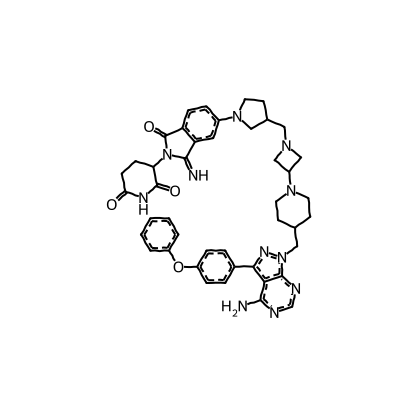 N=C1c2cc(N3CCC(CN4CC(N5CCC(Cn6nc(-c7ccc(Oc8ccccc8)cc7)c7c(N)ncnc76)CC5)C4)C3)ccc2C(=O)N1C1CCC(=O)NC1=O